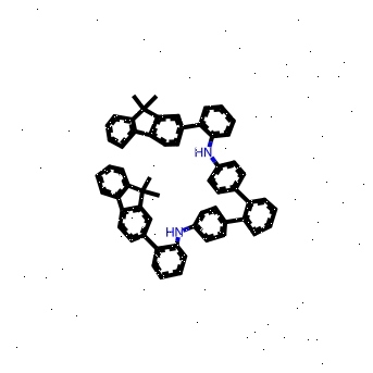 CC1(C)c2ccccc2-c2ccc(-c3ccccc3Nc3ccc(-c4ccccc4-c4ccc(Nc5ccccc5-c5ccc6c(c5)C(C)(C)c5ccccc5-6)cc4)cc3)cc21